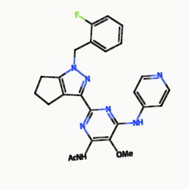 COc1c(NC(C)=O)nc(-c2nn(Cc3ccccc3F)c3c2CCC3)nc1Nc1ccncc1